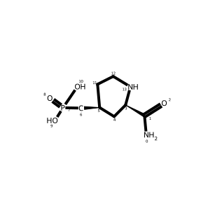 NC(=O)[C@H]1C[C@@H](CP(=O)(O)O)CCN1